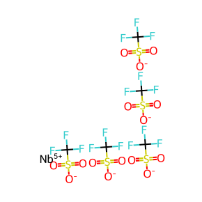 O=S(=O)([O-])C(F)(F)F.O=S(=O)([O-])C(F)(F)F.O=S(=O)([O-])C(F)(F)F.O=S(=O)([O-])C(F)(F)F.O=S(=O)([O-])C(F)(F)F.[Nb+5]